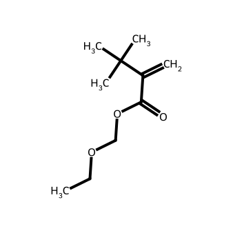 C=C(C(=O)OCOCC)C(C)(C)C